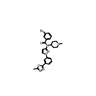 Cc1nnc(-c2cccc(-n3ccc(N(C(=O)c4cccc(Br)c4)C4CCN(C)CC4)n3)c2)o1